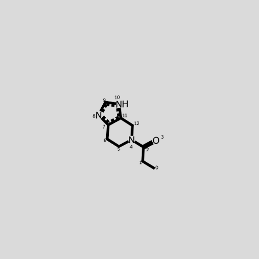 CCC(=O)N1CCc2nc[nH]c2C1